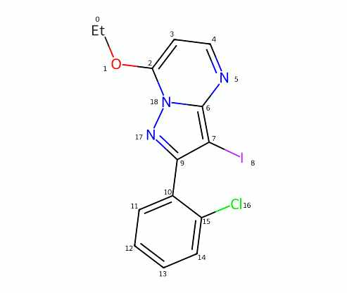 CCOc1ccnc2c(I)c(-c3ccccc3Cl)nn12